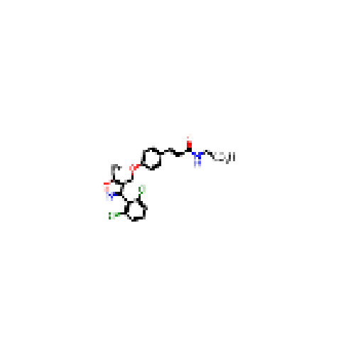 CC(C)c1onc(-c2c(Cl)cccc2Cl)c1COc1ccc(C=CC(=O)NCC(=O)O)cc1